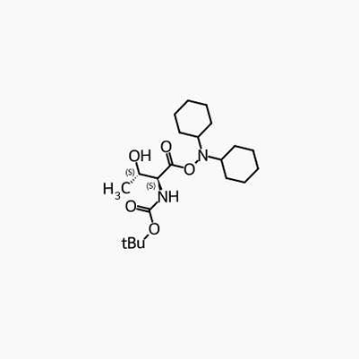 C[C@H](O)[C@H](NC(=O)OC(C)(C)C)C(=O)ON(C1CCCCC1)C1CCCCC1